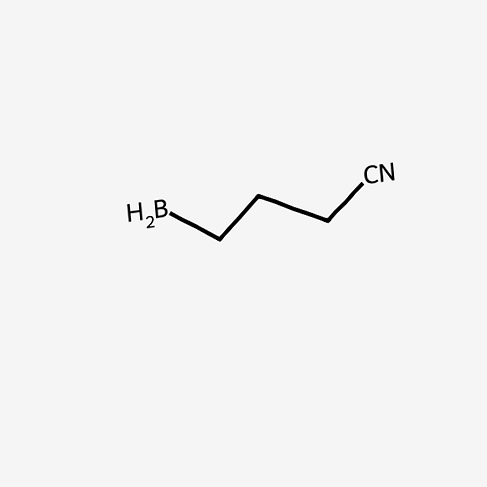 BCCCC#N